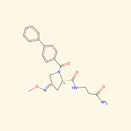 CON=C1C[C@@H](C(=O)NCCC(N)=O)N(C(=O)c2ccc(-c3ccccc3)cc2)C1